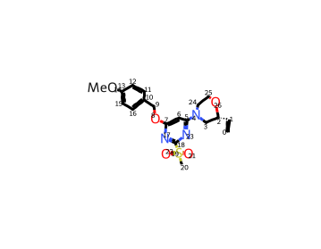 C=C[C@@H]1CN(c2cc(OCc3ccc(OC)cc3)nc(S(C)(=O)=O)n2)CCO1